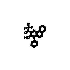 O=C(c1nc2c(ccc3ccccc32)c(-c2ccccc2)c1O)C(F)(F)F